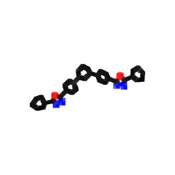 c1ccc(-c2nnc(-c3ccc(-c4cccc(-c5ccc(-c6nnc(-c7ccccc7)o6)cc5)c4)cc3)o2)cc1